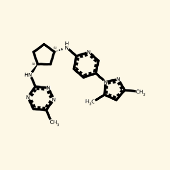 Cc1cnc(N[C@H]2CC[C@H](Nc3ccc(-n4nc(C)cc4C)cn3)C2)nn1